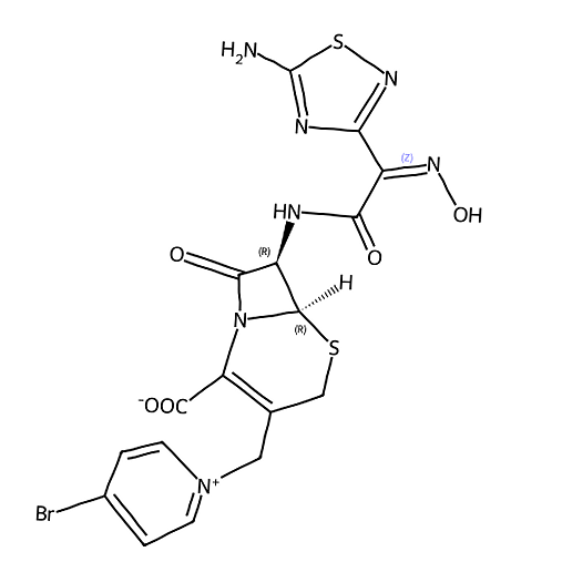 Nc1nc(/C(=N/O)C(=O)N[C@@H]2C(=O)N3C(C(=O)[O-])=C(C[n+]4ccc(Br)cc4)CS[C@H]23)ns1